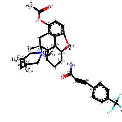 CC(=O)Oc1ccc2c3c1C[C@@H]1[C@@H]4CC[C@@H](NC(=O)C#Cc5ccc(C(F)(F)F)cc5)[C@H](O2)[C@]34CC[N+]1(CC(C)C)CC1CC1